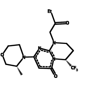 CCC(=O)CN1CC[C@H](C(F)(F)F)n2c1nc(N1CCOC[C@H]1C)cc2=O